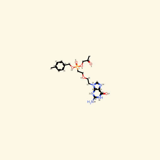 CC(=O)COP(=O)(CCOCCn1cnc2c(=O)[nH]c(N)nc21)OCc1ccc(C)cc1